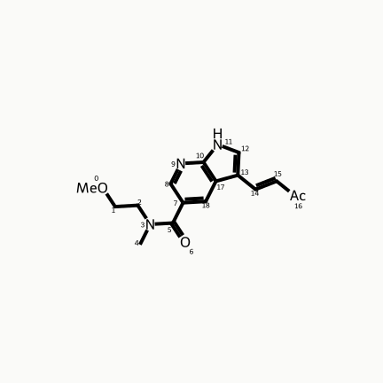 COCCN(C)C(=O)c1cnc2[nH]cc(/C=C/C(C)=O)c2c1